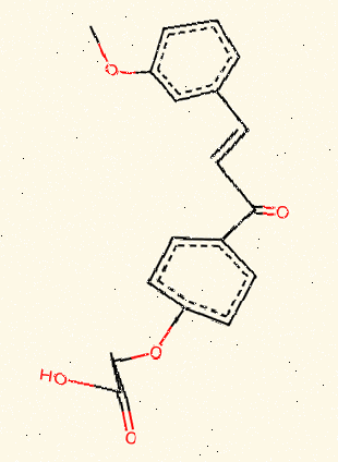 COc1cccc(C=CC(=O)c2ccc(OCC(=O)O)cc2)c1